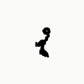 c1ccc(CCCC2CCNC(CCn3cncn3)C2)cc1